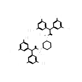 Cc1cc(C)cc(C(C(=O)N(O)[C@@H]2CCC[C@@H](N(O)C(=O)C(c3cc(C)cc(C)c3)c3cc(C)cc(C)c3)C2)c2cc(C)cc(C)c2)c1